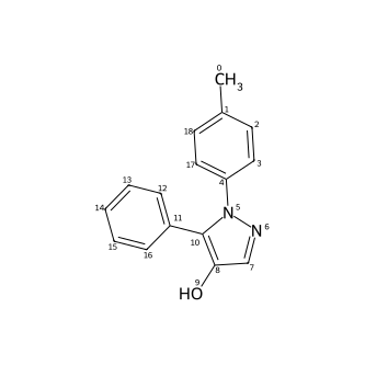 Cc1ccc(-n2ncc(O)c2-c2ccccc2)cc1